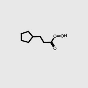 O=C(CCC1CCCC1)OO